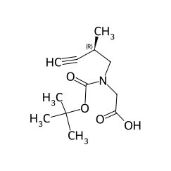 C#C[C@@H](C)CN(CC(=O)O)C(=O)OC(C)(C)C